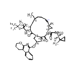 C[C@H]1CC/C=C\[C@@H]2C[C@@]2(C(=O)NS(=O)(=O)C2(C)CC2)NC(=O)[C@@H]2C[C@@H](Oc3nc4c(c5ccccc35)CCCO4)CN2C(=O)[C@@H](NC(=O)OC(C)(C)C(F)(F)F)[C@H](C)C1